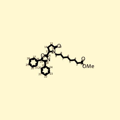 COC(=O)CCCCCCCN1C(=O)CCC1c1nc(-c2ccccc2)c(-c2ccccc2)o1